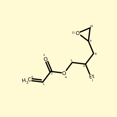 C=CC(=O)OCC(CC)CC1CO1